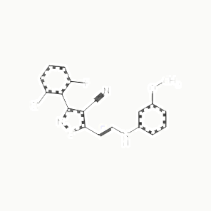 COc1cccc(N/C=C/c2onc(-c3c(F)cccc3Cl)c2C#N)c1